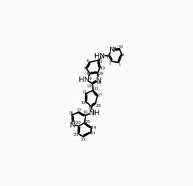 c1ccc(Nc2ccc3[nH]c(-c4ccc(Nc5ccnc6ccccc56)cc4)nc3c2)nc1